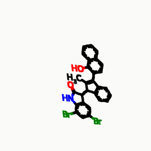 CC1=C(c2ccc3ccccc3c2O)c2ccccc2C1C1C(=O)Nc2c(Br)cc(Br)cc21